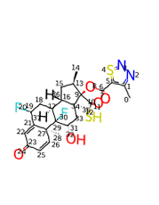 Cc1nnsc1C(=O)O[C@]1(C(=O)S)[C@H](C)C[C@H]2[C@@H]3C[C@H](F)C4=CC(=O)C=C[C@]4(C)[C@@]3(F)[C@@H](O)C[C@@]21C